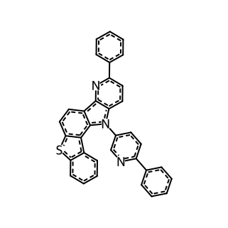 c1ccc(-c2ccc(-n3c4ccc(-c5ccccc5)nc4c4ccc5sc6ccccc6c5c43)cn2)cc1